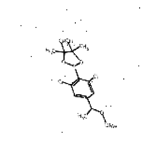 COOC(C)c1cc(Cl)c(P2OC(C)(C)C(C)(C)O2)c(Cl)c1